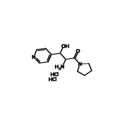 Cl.Cl.NC(C(=O)N1CCCC1)C(O)c1ccncc1